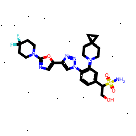 NS(=O)(=O)C(CO)c1ccc(-n2cc(-c3cnc(N4CCC(F)(F)CC4)o3)nn2)c(N2CCC3(CC2)CC3)c1